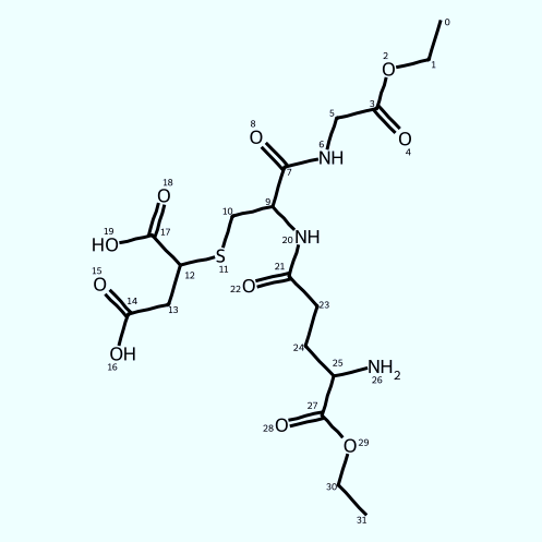 CCOC(=O)CNC(=O)C(CSC(CC(=O)O)C(=O)O)NC(=O)CCC(N)C(=O)OCC